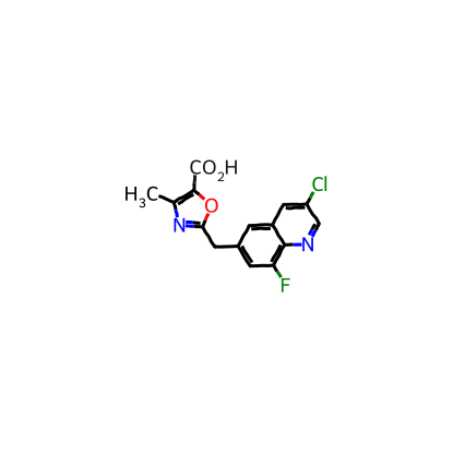 Cc1nc(Cc2cc(F)c3ncc(Cl)cc3c2)oc1C(=O)O